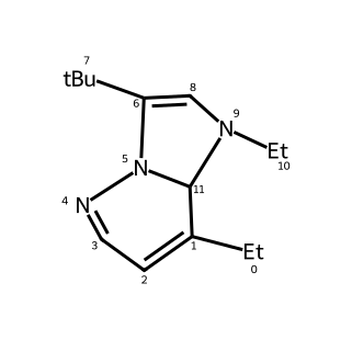 CCC1=CC=NN2C(C(C)(C)C)=CN(CC)C12